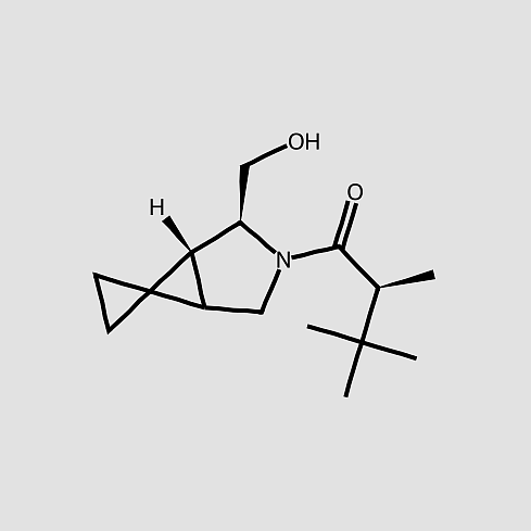 C[C@H](C(=O)N1CC2[C@@H]([C@H]1CO)C21CC1)C(C)(C)C